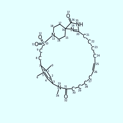 Cc1cc2cc(C)c1CCS(=O)(=O)N1CCC3(CC1)N=C(CCCCC=CCCCCC(=O)N2C)NC3=O